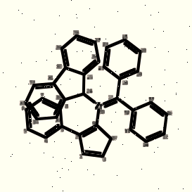 C1=CC(c2ccccc2)=[C]([Zr](=[C](c2ccccc2)c2ccccc2)[CH]2c3ccccc3-c3ccccc32)C1